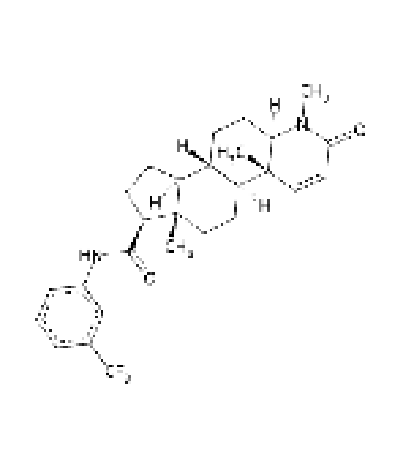 CN1C(=O)C=C[C@]2(C)[C@H]3CC[C@]4(C)[C@@H](C(=O)Nc5cccc(C(F)(F)F)c5)CC[C@H]4[C@@H]3CC[C@@H]12